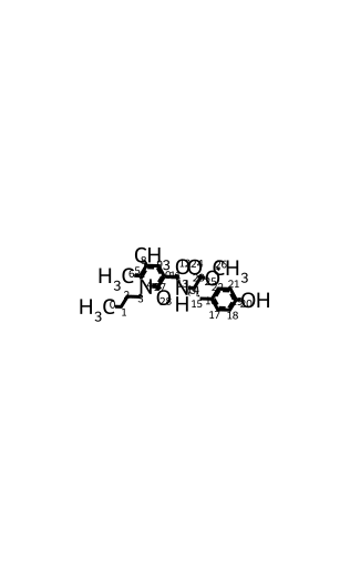 CCCCn1c(C)c(C)cc(C(=O)N[C@@H](Cc2ccc(O)cc2)C(=O)OC)c1=O